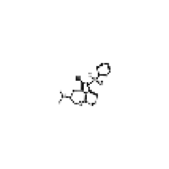 CCc1c2c3c(cccc3n1S(=O)(=O)c1ccccc1)OCC(N(C)C)C2